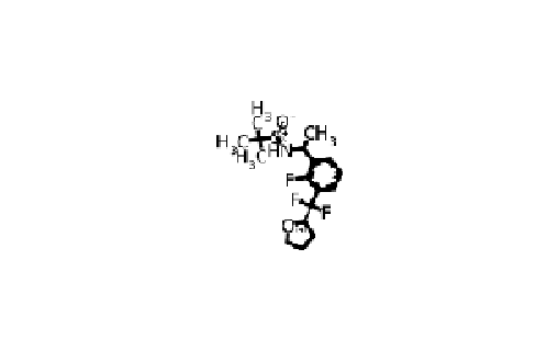 CC(N[S@+]([O-])C(C)(C)C)c1cccc(C(F)(F)[C@H]2CCCO2)c1F